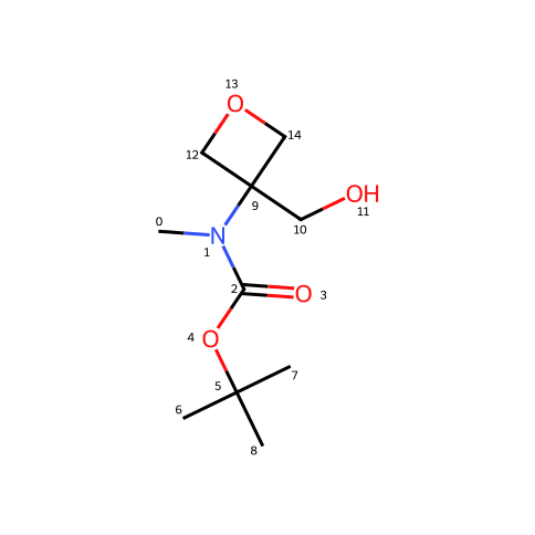 CN(C(=O)OC(C)(C)C)C1(CO)COC1